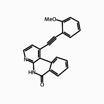 COc1ccccc1C#Cc1ccnc2[nH]c(=O)c3ccccc3c12